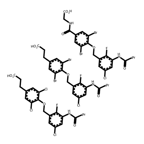 CC(C)C(=O)Nc1cc(Cl)cc(COc2c(Br)cc(C(=O)NCC(=O)O)cc2Br)c1F.CC(C)C(=O)Nc1cc(Cl)cc(COc2c(Br)cc(CCC(=O)O)cc2Br)c1F.CC(C)C(=O)Nc1cc(Cl)cc(COc2c(Cl)cc(CCC(=O)O)cc2Cl)c1F